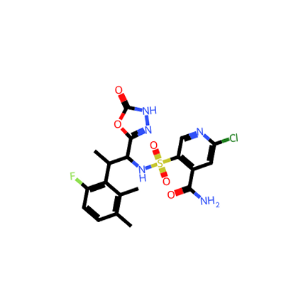 Cc1ccc(F)c(C(C)C(NS(=O)(=O)c2cnc(Cl)cc2C(N)=O)c2n[nH]c(=O)o2)c1C